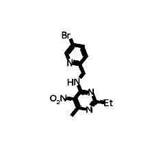 CCc1nc(C)c([N+](=O)[O-])c(NCc2ccc(Br)cn2)n1